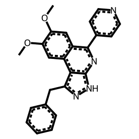 COc1cc2c(-c3ccncc3)nc3[nH]nc(Cc4ccccc4)c3c2cc1OC